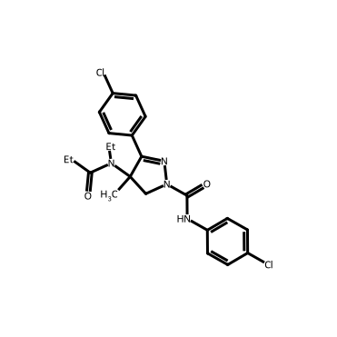 CCC(=O)N(CC)C1(C)CN(C(=O)Nc2ccc(Cl)cc2)N=C1c1ccc(Cl)cc1